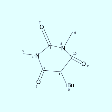 CCC(C)C1C(=O)N(C)C(=O)N(C)C1=O